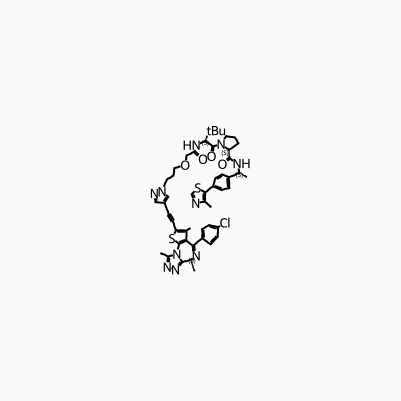 Cc1ncsc1-c1ccc([C@H](C)NC(=O)[C@@H]2CCCN2C(=O)[C@@H](NC(=O)COCCCn2cc(C#Cc3sc4c(c3C)C(c3ccc(Cl)cc3)=N[C@@H](C)c3nnc(C)n3-4)cn2)C(C)(C)C)cc1